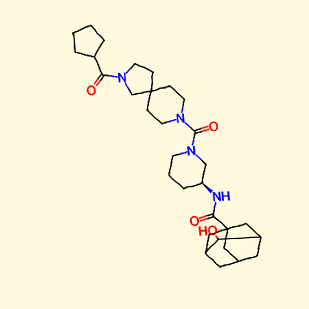 O=C(C1CCCC1)N1CCC2(CCN(C(=O)N3CCC[C@H](NC(=O)C45CC6CC(C4)C(O)C(C6)C5)C3)CC2)C1